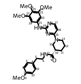 COc1ccc(CCNC(=O)[C@H]2CCCN(c3ccnc(Nc4cc(OC)c(OC)c(OC)c4)n3)C2)cc1